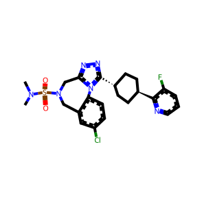 CN(C)S(=O)(=O)N1Cc2cc(Cl)ccc2-n2c(nnc2[C@H]2CC[C@H](c3ncccc3F)CC2)C1